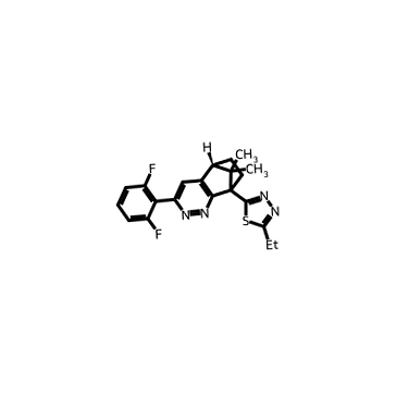 CCc1nnc(C23CC[C@@H](c4cc(-c5c(F)cccc5F)nnc42)C3(C)C)s1